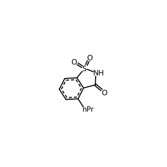 CCCc1cccc2c1C(=O)NS2(=O)=O